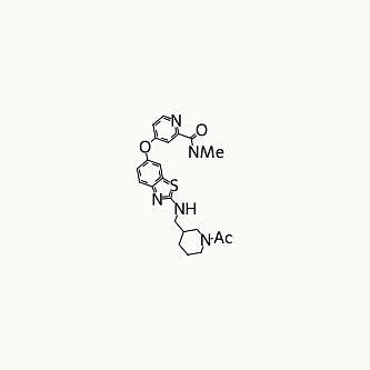 CNC(=O)c1cc(Oc2ccc3nc(NCC4CCCN(C(C)=O)C4)sc3c2)ccn1